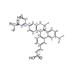 CC(C)c1ccc(N2C(C)Cc3cc(/C(C=N)=C/NC(F)F)ccc3C2c2ccc(/C=C/C(=O)O)cc2)cc1